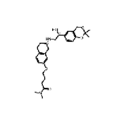 CN(C)C(=O)CCCOc1ccc2c(c1)C[C@@H](NC[C@@H](O)c1ccc3c(c1)COC(C)(C)O3)CC2